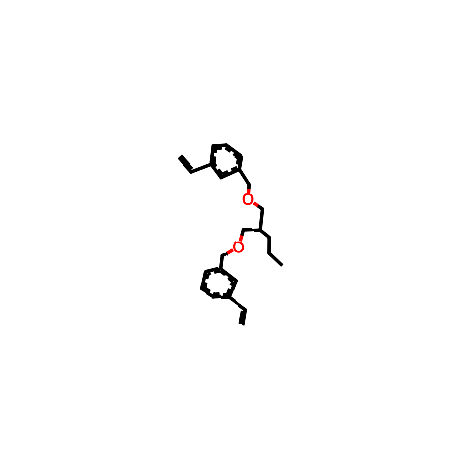 C=Cc1cccc(COCC(CCC)COCc2cccc(C=C)c2)c1